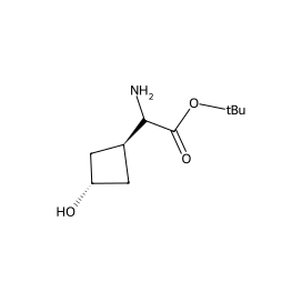 CC(C)(C)OC(=O)C(N)[C@H]1C[C@H](O)C1